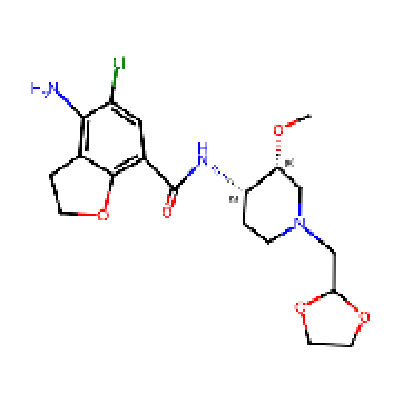 CO[C@@H]1CN(CC2OCCO2)CC[C@@H]1NC(=O)c1cc(Cl)c(N)c2c1OCC2